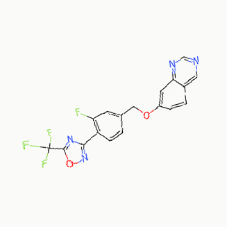 Fc1cc(COc2ccc3cncnc3c2)ccc1-c1noc(C(F)(F)F)n1